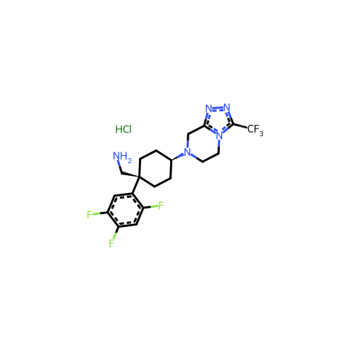 Cl.NC[C@]1(c2cc(F)c(F)cc2F)CC[C@H](N2CCn3c(nnc3C(F)(F)F)C2)CC1